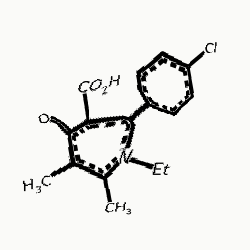 CCn1c(C)c(C)c(=O)c(C(=O)O)c1-c1ccc(Cl)cc1